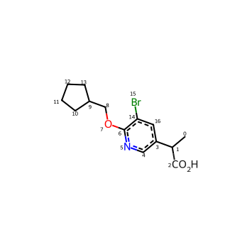 CC(C(=O)O)c1cnc(OCC2CCCC2)c(Br)c1